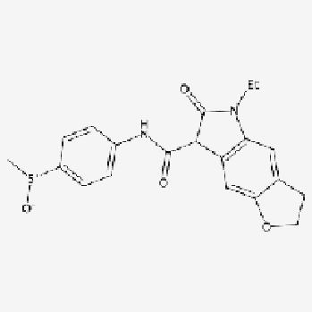 CCN1C(=O)C(C(=O)Nc2ccc([S+](C)[O-])cc2)c2cc3c(cc21)CCO3